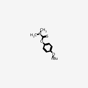 CCCCOc1ccc(OC(=S)N(C)C)cc1